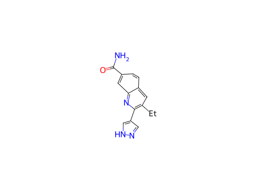 CCc1cc2ccc(C(N)=O)cc2nc1-c1cn[nH]c1